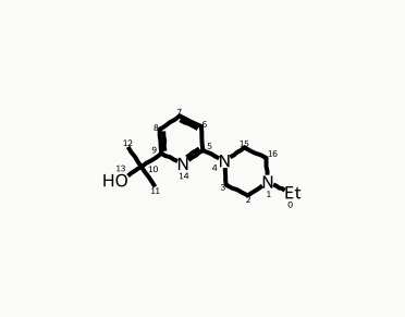 CCN1CCN(c2cccc(C(C)(C)O)n2)CC1